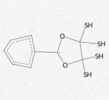 SC1(S)O[C](c2ccccc2)OC1(S)S